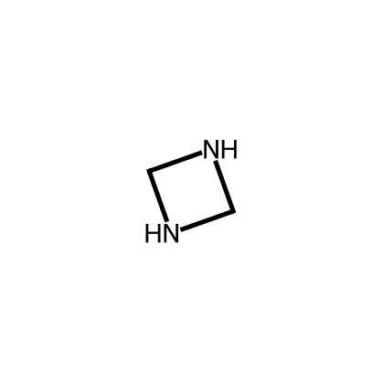 C1NCN1